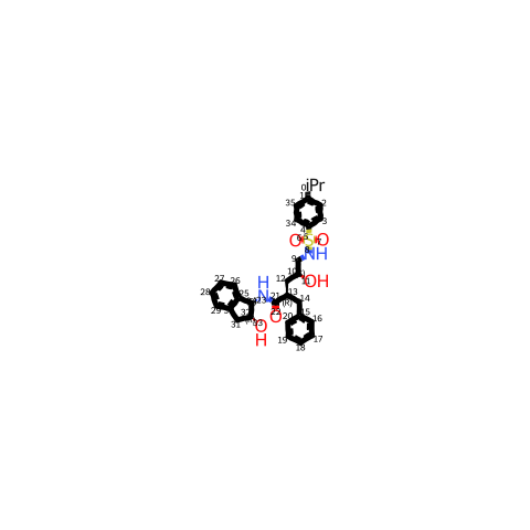 CC(C)c1ccc(S(=O)(=O)NC[C@@H](O)C[C@@H](Cc2ccccc2)C(=O)N[C@H]2c3ccccc3C[C@H]2O)cc1